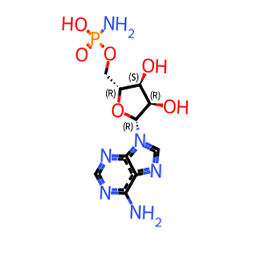 Nc1ncnc2c1ncn2[C@@H]1O[C@H](COP(N)(=O)O)[C@@H](O)[C@H]1O